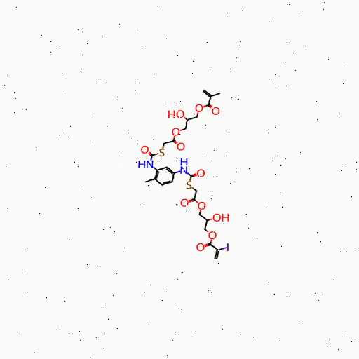 C=C(C)C(=O)OCC(O)COC(=O)CSC(=O)Nc1cc(NC(=O)SCC(=O)OCC(O)COC(=O)C(=C)I)ccc1C